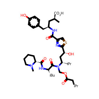 CC[C@@H](C)C(NC(=O)[C@H]1CCCCN1C)C(=O)N(COC(=O)CC(C)C)[C@H](C[C@@H](O)c1nc(C(=O)N[C@@H](Cc2ccc(O)cc2)C[C@H](C)C(=O)O)cs1)C(C)C